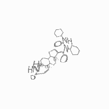 C[C@]12CCC3C(CC[C@H]4NC(=O)C=C[C@]34C)C1CCC2C(=O)N(C(=O)NC1CCCCC1)C1CCCCC1